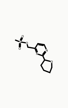 CS(=O)(=O)OCc1ccnc(C2CCCCO2)n1